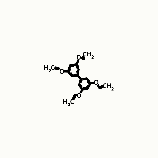 C=COc1cc(OC=C)cc(-c2cc(OC=C)cc(OC=C)c2)c1